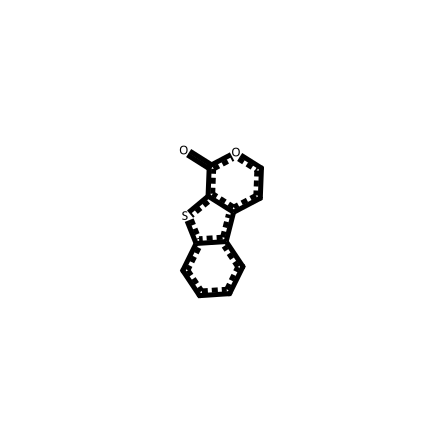 O=c1occc2c1sc1ccccc12